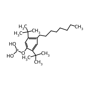 CCCCCCCCc1cc(C(C)(C)C)c(OP(O)O)cc1C(C)(C)C